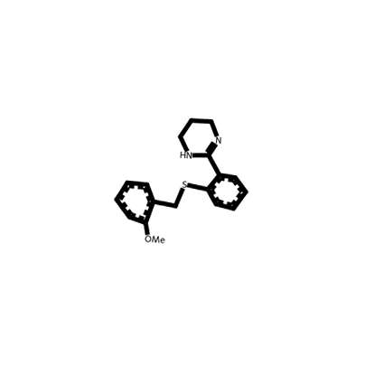 COc1ccccc1CSc1ccccc1C1=NCCCN1